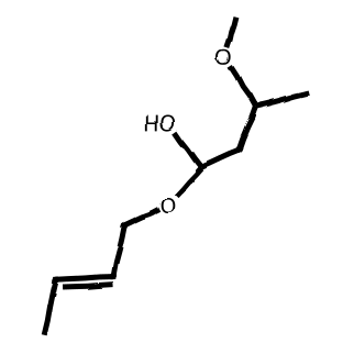 C/C=C/COC(O)CC(C)OC